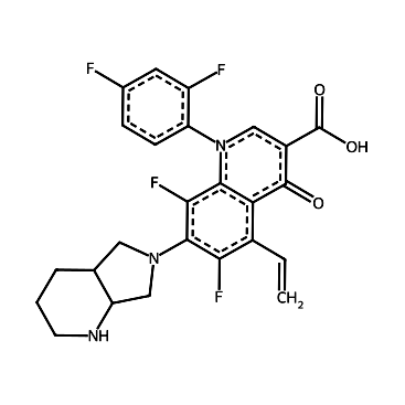 C=Cc1c(F)c(N2CC3CCCNC3C2)c(F)c2c1c(=O)c(C(=O)O)cn2-c1ccc(F)cc1F